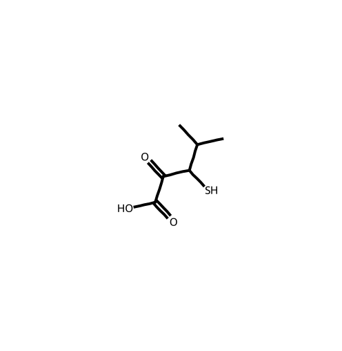 CC(C)C(S)C(=O)C(=O)O